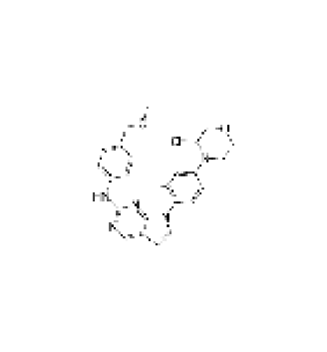 COCc1ccc(Nc2ncc3ccn(-c4ccc(N5CCOCC5Cl)cc4C)c3n2)cc1